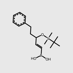 CC(C)(C)[Si](C)(C)OC(C=CB(O)O)CCc1ccccc1